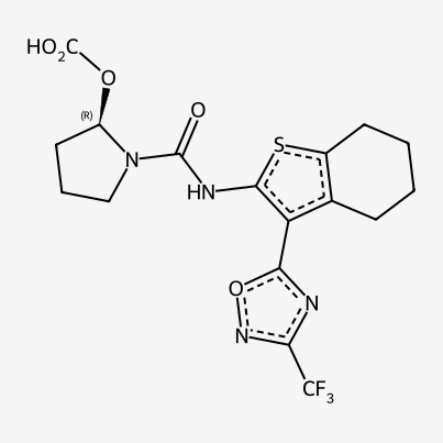 O=C(O)O[C@@H]1CCCN1C(=O)Nc1sc2c(c1-c1nc(C(F)(F)F)no1)CCCC2